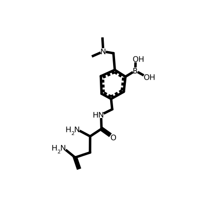 C=C(N)CC(N)C(=O)NCc1ccc(CN(C)C)c(B(O)O)c1